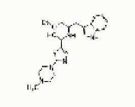 CCOCC(Cc1c[nH]c2ccccc12)NC(O)c1cnc(N2CCN(C)CC2)s1